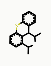 CC(C)c1cccc2c1C(C(C)C)c1ccccc1S2